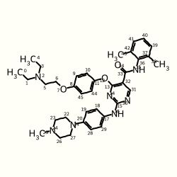 CCN(CC)CCOc1ccc(Oc2nc(Nc3ccc(N4CCN(C)CC4)cc3)ncc2C(=O)Nc2c(C)cccc2C)cc1